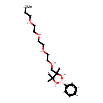 COCCOCCOCCOCCOCC1(C)OB(c2ccccc2)OC1(C)C